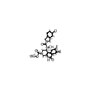 CN(C(=O)N1Cc2ccc(Cl)cc2C1)C1CN(C(=O)OC(C)(C)C)Cc2[nH]c(=O)c3cc(F)c(F)cc3c21